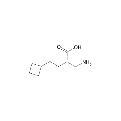 NCC(CCC1CCC1)C(=O)O